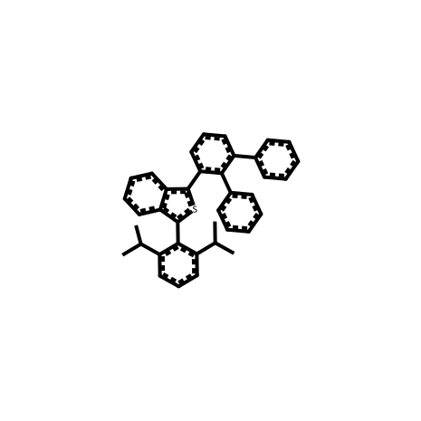 CC(C)c1cccc(C(C)C)c1-c1sc(-c2cccc(-c3ccccc3)c2-c2ccccc2)c2ccccc12